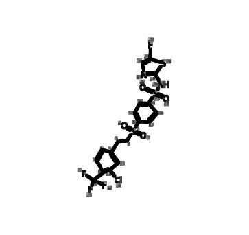 O=S(=O)(CCc1ccc(C(F)(F)F)c(Cl)c1)c1ccc(S(=O)(=O)Nc2ncc(F)s2)cc1